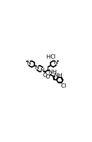 CN1CCC(C[C@@H](NC(=O)c2cc3cc(Cl)ccc3[nH]2)C(=O)N2CCN(C3CCN(C)CC3)CC2)CC1.Cl